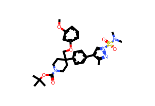 COc1cccc(OCC2(c3ccc(-c4cn(S(=O)(=O)N(C)C)nc4C)cc3)CCN(C(=O)OC(C)(C)C)CC2)c1